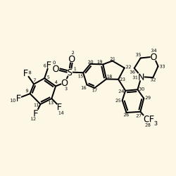 O=S(=O)(Oc1c(F)c(F)c(F)c(F)c1F)c1ccc2c(c1)CCC2c1ccc(C(F)(F)F)cc1N1CCOCC1